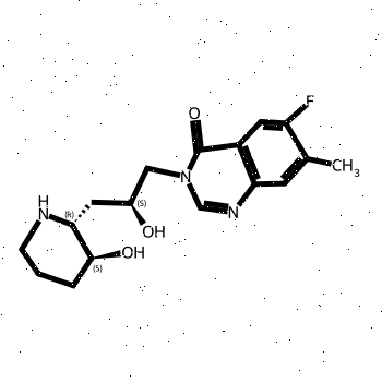 Cc1cc2ncn(C[C@@H](O)C[C@H]3NCCC[C@@H]3O)c(=O)c2cc1F